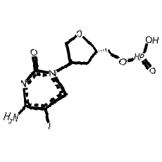 Nc1nc(=O)n(C2CO[C@H](CO[PH](=O)O)C2)cc1I